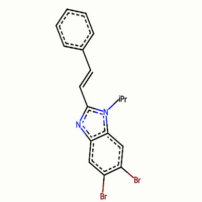 CC(C)n1c(/C=C/c2ccccc2)nc2cc(Br)c(Br)cc21